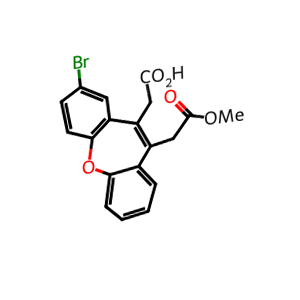 COC(=O)CC1=C(CC(=O)O)c2cc(Br)ccc2Oc2ccccc21